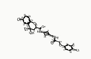 CCC1(O)CC(C(=O)NC23CC(NC(=O)COc4ccc(Cl)c(F)c4)(C2)C3)Oc2ccc(Cl)cc21